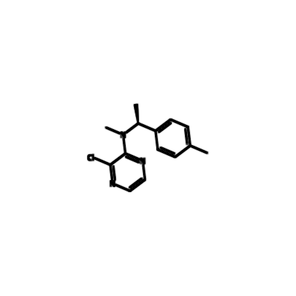 Cc1ccc([C@H](C)N(C)c2nccnc2Cl)cc1